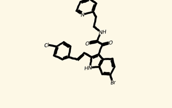 O=C(NCCc1ccccn1)C(=O)c1c(C=Cc2ccc(Cl)cc2)[nH]c2cc(Br)ccc12